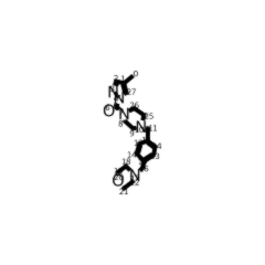 Cc1cnn(C(=O)N2CCN(Cc3ccc(CN4CCOCC4)cc3)CC2)c1